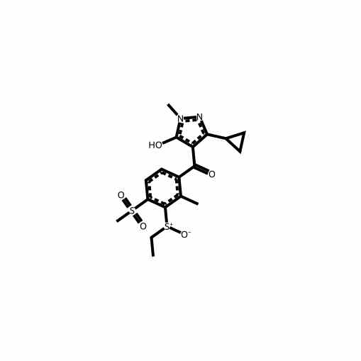 CC[S+]([O-])c1c(S(C)(=O)=O)ccc(C(=O)c2c(C3CC3)nn(C)c2O)c1C